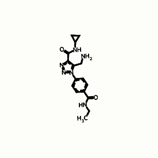 CCNC(=O)c1ccc(-n2nnc(C(=O)NC3CC3)c2CN)cc1